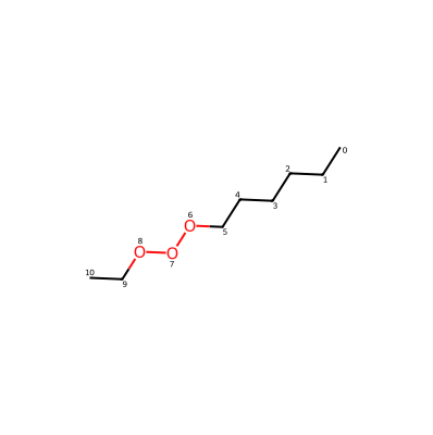 CCCCCCOOOCC